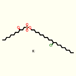 CCCCCCCCCC(Cl)CCCCCCCCCCOS(=O)(=O)CCC(=O)CCCCCCCC.[K]